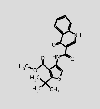 COC(=O)c1c(NC(=O)c2c[nH]c3ccccc3c2=O)csc1C(C)(C)C